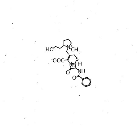 C[N+]1(CC2=C(C(=O)[O-])N3C(=O)C(NC(=O)c4ccccc4)[C@@H]3SC2)CCCC1CCO